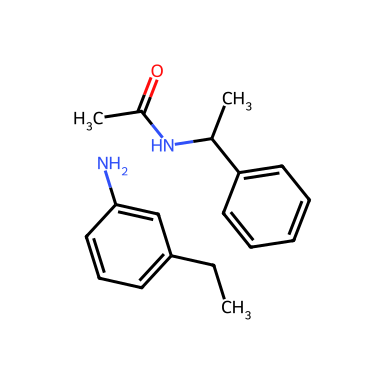 CC(=O)NC(C)c1ccccc1.CCc1cccc(N)c1